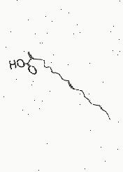 C=C(CCCCCC/C=C/CCCCCCCC)C(=O)O